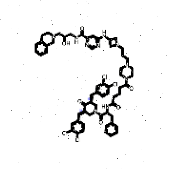 O=C(CCCC(=O)N1CCN(CCCN2CC(Nc3cc(C(=O)NCC(O)CN4CCc5ccccc5C4)ncn3)C2)CC1)NC(Cc1ccccc1)C(=O)N1C/C(=C\c2ccc(Cl)c(Cl)c2)C(=O)/C(=C/c2ccc(Cl)c(Cl)c2)C1